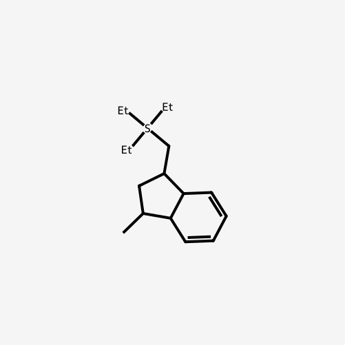 CCS(CC)(CC)CC1CC(C)C2C=CC=CC12